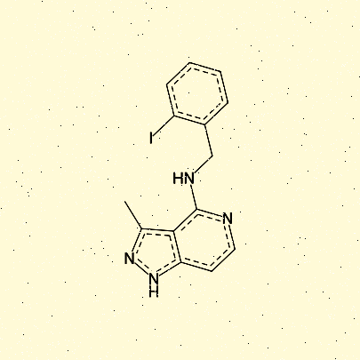 Cc1n[nH]c2ccnc(NCc3ccccc3I)c12